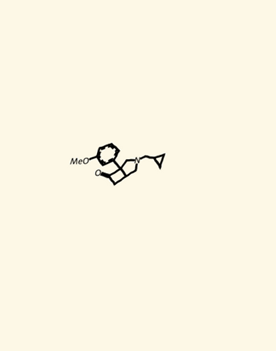 COc1cccc(C23CN(CC4CC4)CC2CC3=O)c1